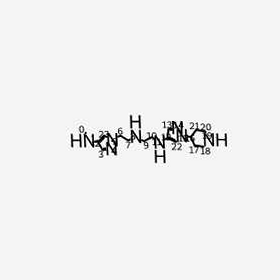 CNc1cnn(CCNCCNc2cnn(C3CCNCC3)c2)c1